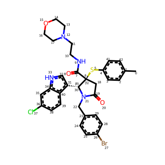 Cc1ccc(S[C@@]2(C(=O)NCCN3CCOCC3)CC(=O)N(Cc3ccc(Br)cc3)[C@@H]2c2c[nH]c3cc(Cl)ccc23)cc1